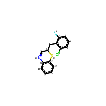 Fc1cccc(Cl)c1CC1C=Nc2ccccc2S1